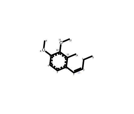 CC/C=C\c1ccc(OC)c(OC)c1C